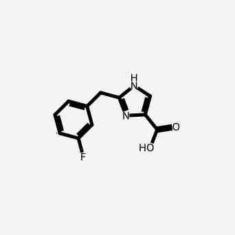 O=C(O)c1c[nH]c(Cc2cc[c]c(F)c2)n1